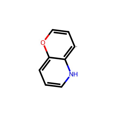 [C]1=C2NC=CC=C2OC=C1